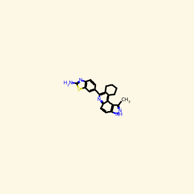 Cc1n[nH]c2ccc3nc(-c4ccc5nc(N)sc5c4)c4c(c3c12)CCCC4